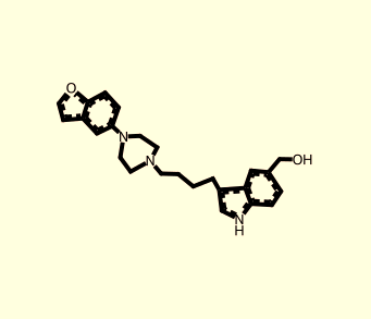 OCc1ccc2[nH]cc(CCCCN3CCN(c4ccc5occc5c4)CC3)c2c1